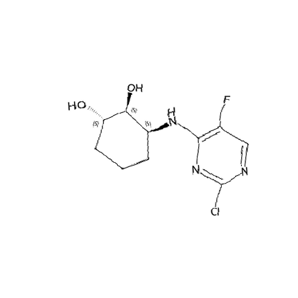 O[C@H]1[C@@H](Nc2nc(Cl)ncc2F)CCC[C@@H]1O